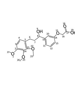 COc1ccc(CCC(O)c2cccc(OCC(=O)O)c2)c(OC)c1OC